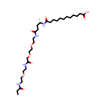 CCC(=O)NCCOCCNC(=O)COCCOCCNC(=O)CC[C@H](C)NC(=O)CCCCCCCCCCC(=O)O